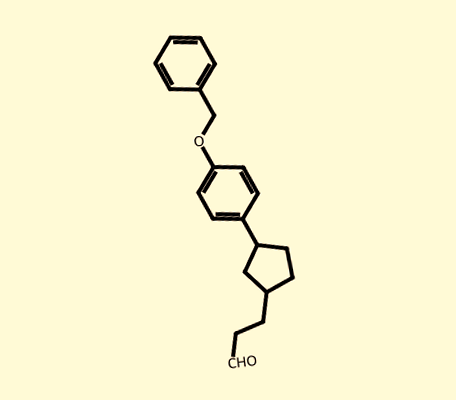 O=CCCC1CCC(c2ccc(OCc3ccccc3)cc2)C1